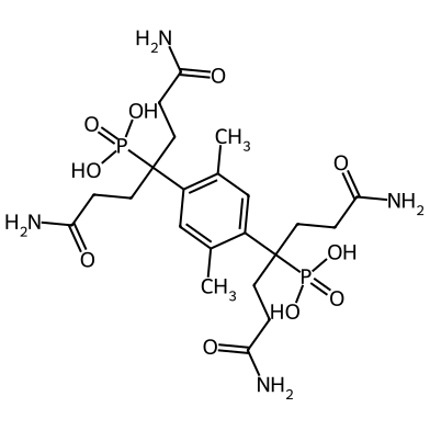 Cc1cc(C(CCC(N)=O)(CCC(N)=O)P(=O)(O)O)c(C)cc1C(CCC(N)=O)(CCC(N)=O)P(=O)(O)O